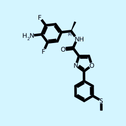 CSc1cccc(-c2nc(C(=O)N[C@H](C)c3cc(F)c(N)c(F)c3)co2)c1